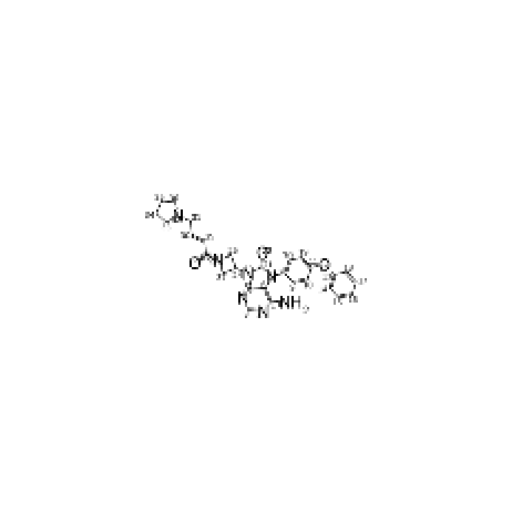 Nc1ncnc2c1n(-c1ccc(Oc3ccccc3)cc1)c(=O)n2C1CN(C(=O)C=CCN2CCCC2)C1